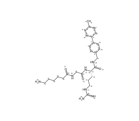 Cc1nnc(-c2ccc(CNC(=O)[C@H](CCCNC(=N)N)NC(=O)CNC(=O)CCCCCN)cc2)nn1